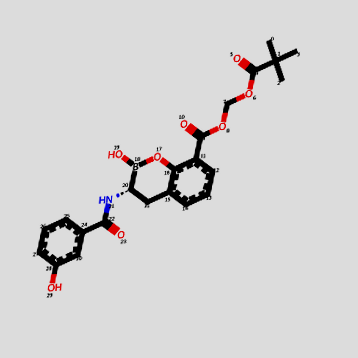 CC(C)(C)C(=O)OCOC(=O)c1cccc2c1OB(O)[C@@H](NC(=O)c1cccc(O)c1)C2